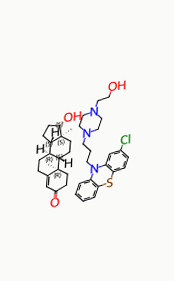 C[C@]12CC[C@H]3[C@@H](CCC4=CC(=O)CC[C@@]43C)[C@@H]1CC[C@@H]2O.OCCN1CCN(CCCN2c3ccccc3Sc3ccc(Cl)cc32)CC1